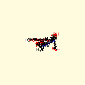 CCN1/C(=C/C=C/C=C/C=C/C2=[N+](CCCCCC(=O)O)c3ccc(S(=O)(=O)O)cc3C2(C)CCOCCOCCOCCOCCOCCOC)C(C)(CCCS(=O)(=O)O)c2cc(S(=O)(=O)[O-])ccc21